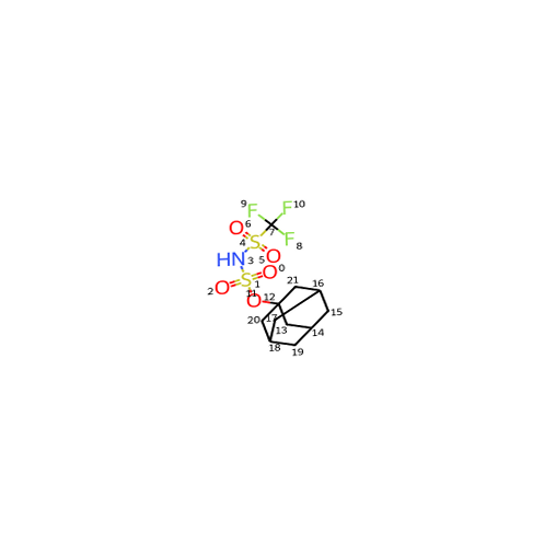 O=S(=O)(NS(=O)(=O)C(F)(F)F)OC12CC3CC(CC(C3)C1)C2